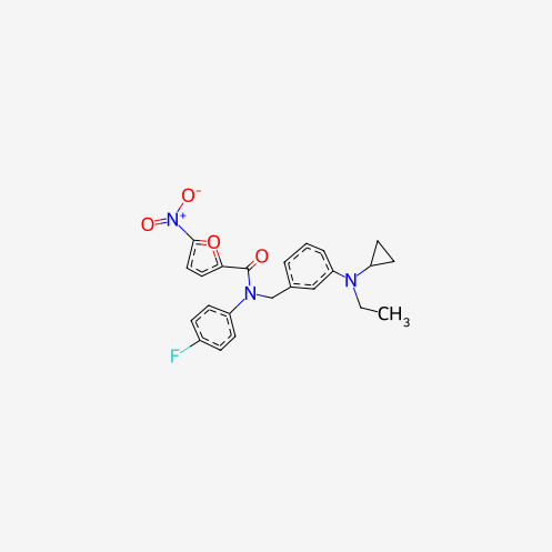 CCN(c1cccc(CN(C(=O)c2ccc([N+](=O)[O-])o2)c2ccc(F)cc2)c1)C1CC1